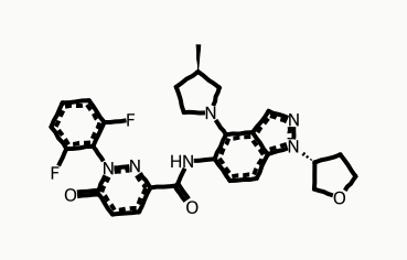 C[C@@H]1CCN(c2c(NC(=O)c3ccc(=O)n(-c4c(F)cccc4F)n3)ccc3c2cnn3[C@@H]2CCOC2)C1